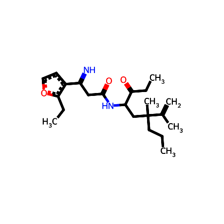 C=C(C)C(C)(CCC)CC(NC(=O)CC(=N)c1ccoc1CC)C(=O)CC